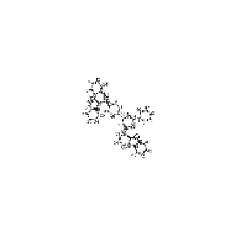 c1ccc(-c2nc(-c3ccc(-c4nc5ccccc5c5sc6ccccc6c45)cc3)cc(-c3cccc4c3oc3ccccc34)n2)cc1